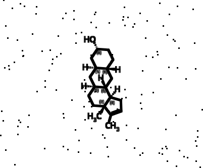 CC1=CC[C@@H]2[C@H]3C[C@H]4CC[C@@H](O)C[C@@H]4C[C@@H]3CC[C@@]12C